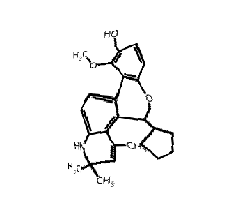 COc1c(O)ccc2c1-c1ccc3c(c1C(C1CCCC1)O2)C(C)=CC(C)(C)N3